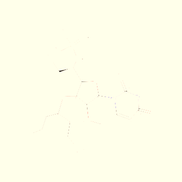 CCCC(CCC)OC1C(OC)C(n2ccc(=O)[nH]c2=O)OC1[C@@H](CC)OP(=O)(O)O